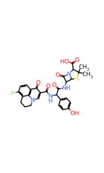 CC1(C)SC2C(NC(=O)C(NC(=O)c3cn4c5c(c(F)ccc5c3=O)CCC4)c3ccc(O)cc3)C(=O)N2C1C(=O)O